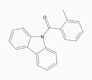 Cc1ccccc1C(=O)n1c2ccccc2c2ccccc21